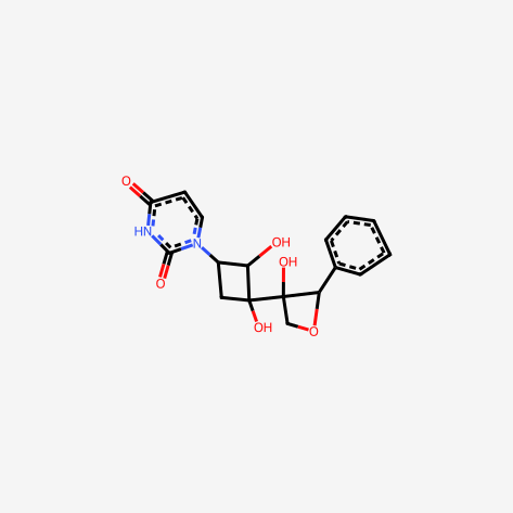 O=c1ccn(C2CC(O)(C3(O)COC3c3ccccc3)C2O)c(=O)[nH]1